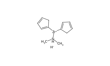 C[SiH](C)[Zr+]([C]1=CC=CC1)[C]1=CC=CC1.[H-]